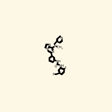 CN(Cc1ccncc1)c1nc(-c2cccc(NC(=O)Nc3cc(CF)ccc3F)c2)cn2ccnc12